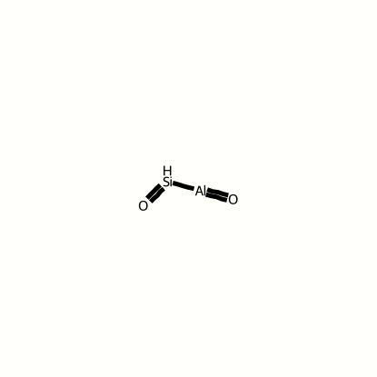 [O]=[Al][SiH]=O